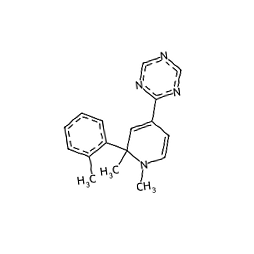 Cc1ccccc1C1(C)C=C(c2ncncn2)C=CN1C